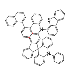 c1ccc(N2c3ccccc3C3(c4ccccc4-c4ccc(N(c5ccccc5-c5ccccc5-c5cccc6ccccc56)c5cccc6c5sc5ccccc56)cc43)c3ccccc32)cc1